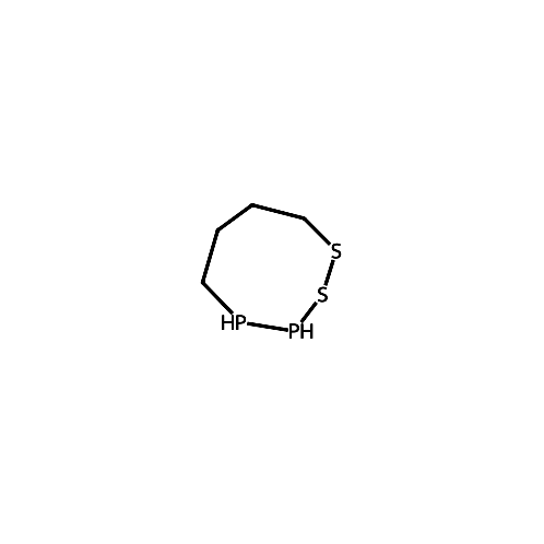 C1CCSSPPC1